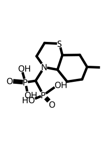 CC1CCC2C(C1)SCCN2C(P(=O)(O)O)P(=O)(O)O